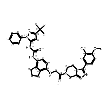 COc1ccc(-c2nnc3n2CCN(C(=O)COc2ccc(NC(=O)Nc4cc(C(C)(C)C)nn4-c4ccccc4)c4c2CCC4)C3)cc1Cl